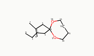 CCCCC1(CC(C)C)OCCCCO1